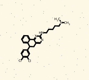 CN(C)CCCCCNc1ncc2c(n1)-c1ccccc1C(c1ccc(Cl)c(Cl)c1)C2